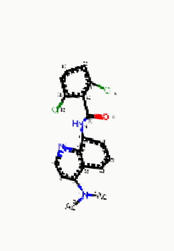 CC(=O)N(C(C)=O)c1ccnc2c(NC(=O)c3c(Cl)cccc3Cl)cccc12